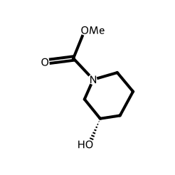 COC(=O)N1CCC[C@H](O)C1